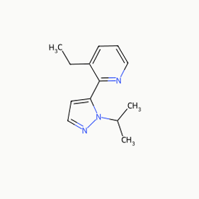 CCc1cccnc1-c1ccnn1C(C)C